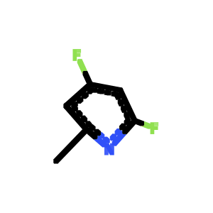 Cc1cc(F)cc(F)n1